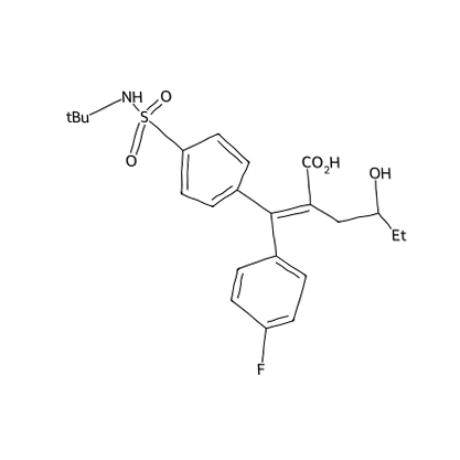 CCC(O)CC(C(=O)O)=C(c1ccc(F)cc1)c1ccc(S(=O)(=O)NC(C)(C)C)cc1